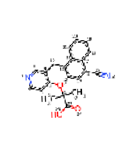 CC(C)(Oc1ccncc1Cc1ccc(C#N)c2ccccc12)C(=O)O